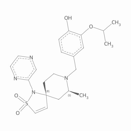 CC(C)Oc1cc(CN2CC[C@]3(C=CS(=O)(=O)N3c3cnccn3)C[C@@H]2C)ccc1O